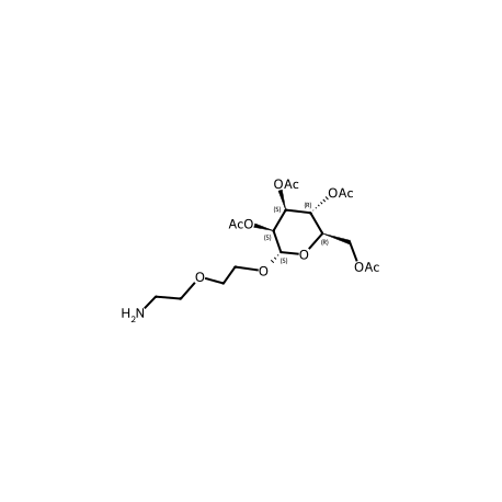 CC(=O)OC[C@H]1O[C@H](OCCOCCN)[C@@H](OC(C)=O)[C@@H](OC(C)=O)[C@@H]1OC(C)=O